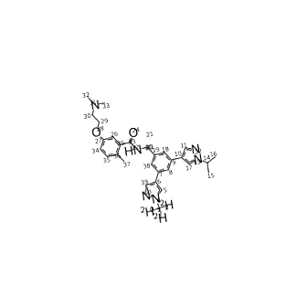 [2H]C([2H])([2H])n1cc(-c2cc(-c3cnn(C(C)C)c3)cc([C@@H](C)NC(=O)c3cc(OCCN(C)C)ccc3C)c2)cn1